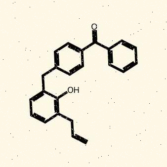 C=CCc1cccc(Cc2ccc(C(=O)c3ccccc3)cc2)c1O